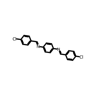 Clc1ccc(C=Nc2ccc(N=Cc3ccc(Cl)cc3)cc2)cc1